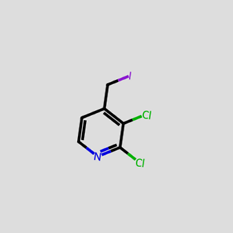 Clc1nccc(CI)c1Cl